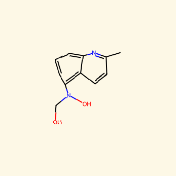 Cc1ccc2c(N(O)CO)cccc2n1